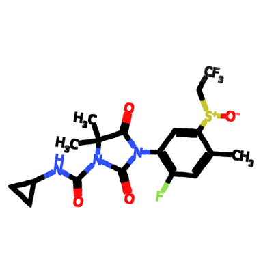 Cc1cc(F)c(N2C(=O)N(C(=O)NC3CC3)C(C)(C)C2=O)cc1[S+]([O-])CC(F)(F)F